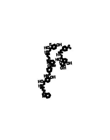 CC(C)(CCn1cnc2ccccc21)NCC(O)c1ccc(O)cc1F.CN(C)c1ccc(CC(C)(C)NCC(O)c2ccc(O)c3c2OCC(=O)N3)cc1.COc1ccc(CNc2cc(C(O)CNC(C)(C)CCn3cnc4ccccc43)ccc2O)cc1